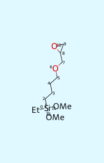 CC[Si](CCCCOCC1CO1)(OC)OC